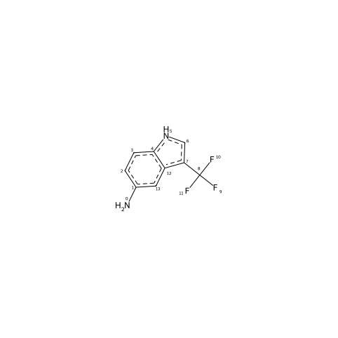 Nc1ccc2[nH]cc(C(F)(F)F)c2c1